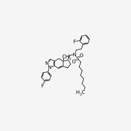 CCCCCCCCS(=O)(=O)N(CCc1ccccc1F)C[C@H]1CCC2=Cc3c(cnn3-c3ccc(F)cc3)C[C@@]21C